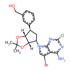 CC1(C)O[C@@H]2[C@H](O1)[C@@H](c1cccc(CO)c1)C[C@H]2n1cc(Br)c2c(N)nc(Cl)nc21